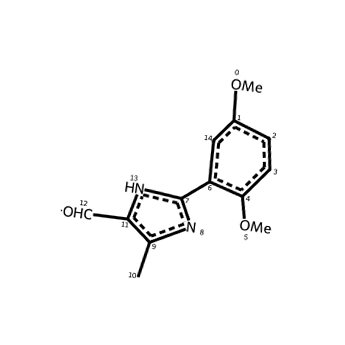 COc1ccc(OC)c(-c2nc(C)c([C]=O)[nH]2)c1